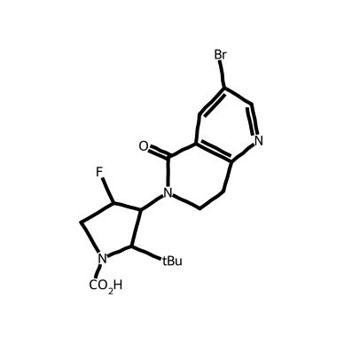 CC(C)(C)C1C(N2CCc3ncc(Br)cc3C2=O)C(F)CN1C(=O)O